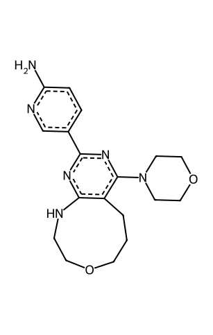 Nc1ccc(-c2nc3c(c(N4CCOCC4)n2)CCCOCCN3)cn1